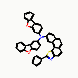 c1ccc(-c2nc3ccc4ccc5ccc(N(c6ccc7c(c6)oc6ccccc67)c6ccc7oc8ccccc8c7c6)cc5c4c3s2)cc1